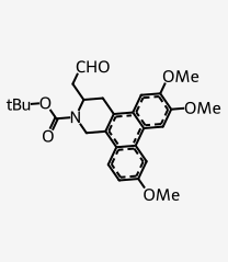 COc1ccc2c3c(c4cc(OC)c(OC)cc4c2c1)CC(CC=O)N(C(=O)OC(C)(C)C)C3